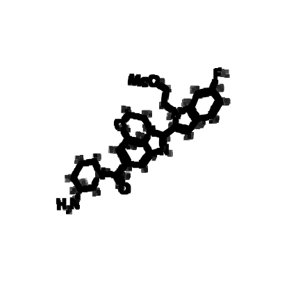 COCCn1c(-c2nc3cc(C(=O)N4CCC[C@@H](N)C4)cc4c3n2CCO4)cc2ccc(F)cc21